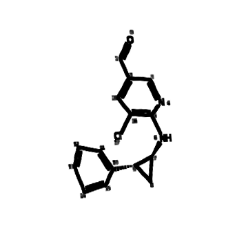 O=Cc1cnc(N[C@H]2C[C@@H]2c2ccccc2)c(Cl)c1